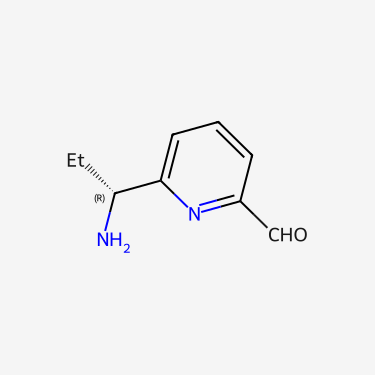 CC[C@@H](N)c1cccc(C=O)n1